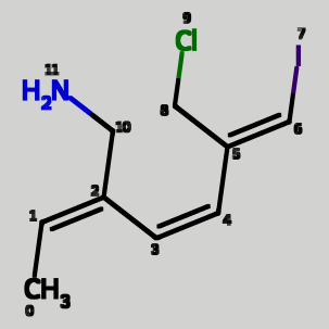 C\C=C(/C=C\C(=C\I)CCl)CN